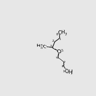 CCCC(C)OCCCO